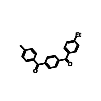 CCc1ccc(C(=O)c2ccc(C(=O)c3ccc(C)cc3)cc2)cc1